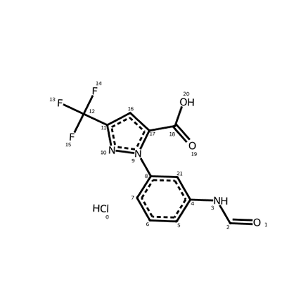 Cl.O=CNc1cccc(-n2nc(C(F)(F)F)cc2C(=O)O)c1